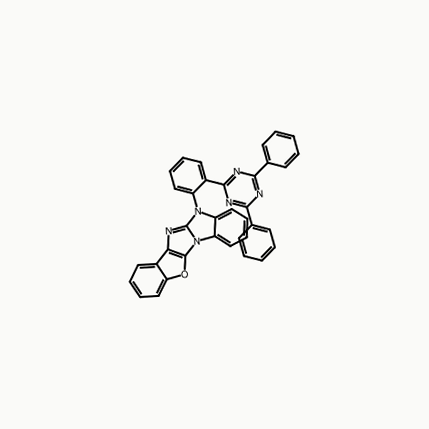 c1ccc(-c2nc(-c3ccccc3)nc(-c3ccccc3-n3c4ccccc4n4c5oc6ccccc6c5nc34)n2)cc1